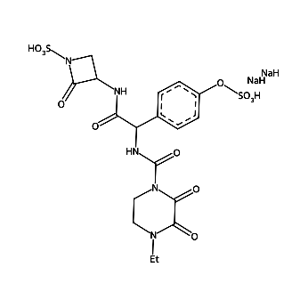 CCN1CCN(C(=O)NC(C(=O)NC2CN(S(=O)(=O)O)C2=O)c2ccc(OS(=O)(=O)O)cc2)C(=O)C1=O.[NaH].[NaH]